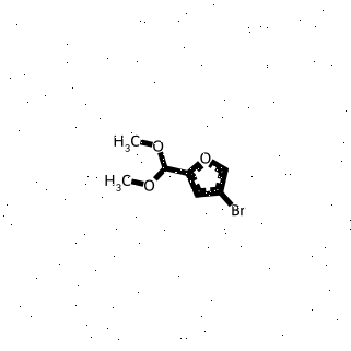 COC(OC)c1cc(Br)co1